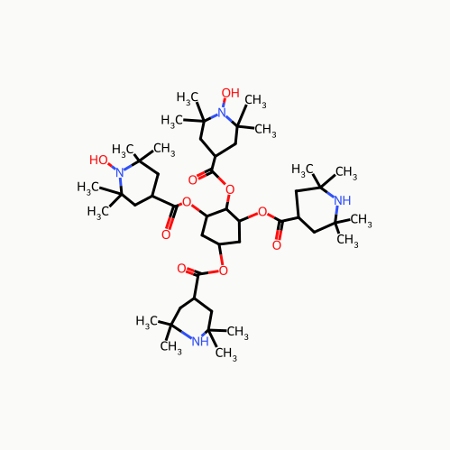 CC1(C)CC(C(=O)OC2CC(OC(=O)C3CC(C)(C)NC(C)(C)C3)C(OC(=O)C3CC(C)(C)N(O)C(C)(C)C3)C(OC(=O)C3CC(C)(C)N(O)C(C)(C)C3)C2)CC(C)(C)N1